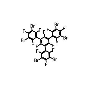 Fc1c(Br)c(F)c(-c2c(F)c(-c3c(F)c(Br)c(F)c(Br)c3F)c(F)c(-c3c(F)c(Br)c(F)c(Br)c3F)c2F)c(F)c1Br